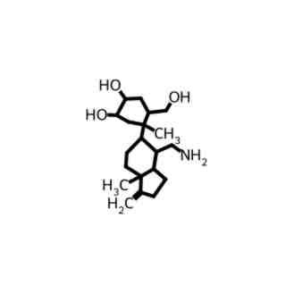 C=C1CCC2C(CN)C(C3(C)CC(O)C(O)CC3CO)CCC12C